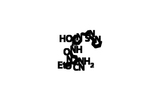 CCOc1nc(C(=O)NC[C@H]2CCN(Cc3cnc(-c4ccccn4)s3)C[C@@H]2O)cc(N)c1C#N